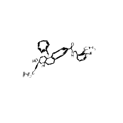 CC#C[C@@]1(O)CC[C@@]2(Cc3ccccc3)c3ccc(C(=O)NCc4cccnc4C)cc3CC[C@@H]2C1